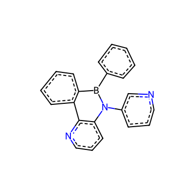 c1ccc(B2c3ccccc3-c3ncccc3N2c2cccnc2)cc1